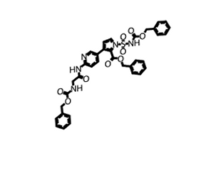 O=C(CNC(=O)OCc1ccccc1)Nc1ccc(-c2ccn(S(=O)(=O)NC(=O)OCc3ccccc3)c2C(=O)OCc2ccccc2)cn1